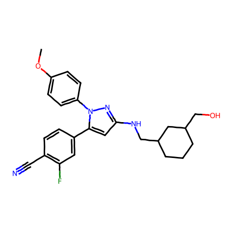 COc1ccc(-n2nc(NCC3CCCC(CO)C3)cc2-c2ccc(C#N)c(F)c2)cc1